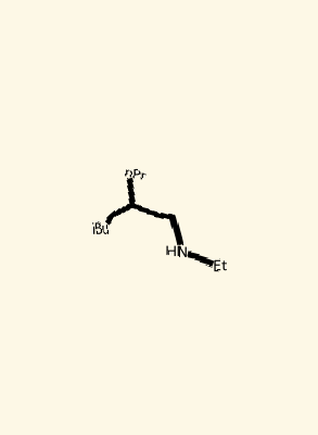 CCCC(CNCC)C(C)CC